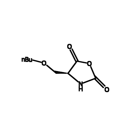 CCCCOC[C@@H]1NC(=O)OC1=O